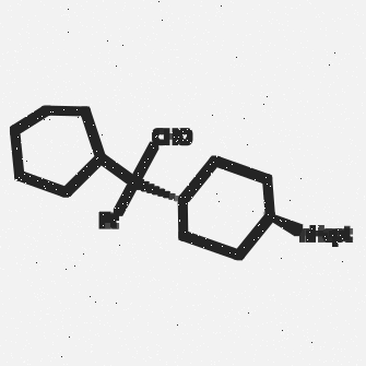 CCCCCCC[C@H]1CC[C@H](C(C=O)(CC)C2CCCCC2)CC1